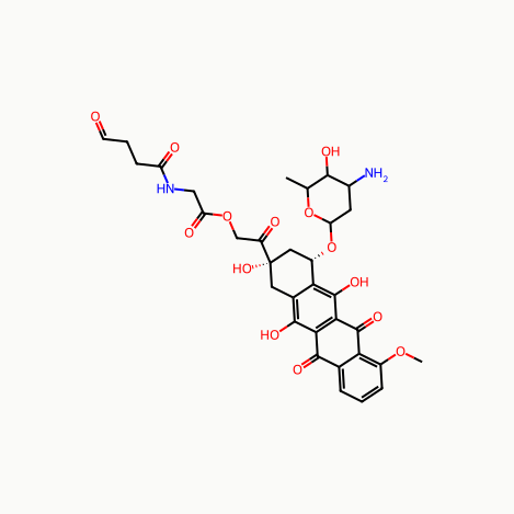 COc1cccc2c1C(=O)c1c(O)c3c(c(O)c1C2=O)C[C@@](O)(C(=O)COC(=O)CNC(=O)CCC=O)C[C@@H]3OC1CC(N)C(O)C(C)O1